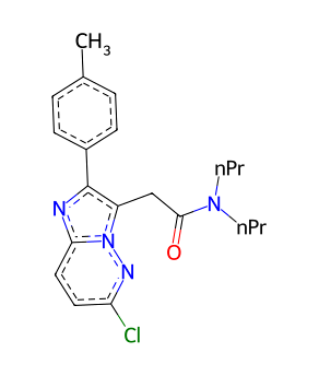 CCCN(CCC)C(=O)Cc1c(-c2ccc(C)cc2)nc2ccc(Cl)nn12